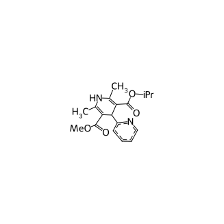 COC(=O)C1=C(C)NC(C)=C(C(=O)OC(C)C)C1c1ccccn1